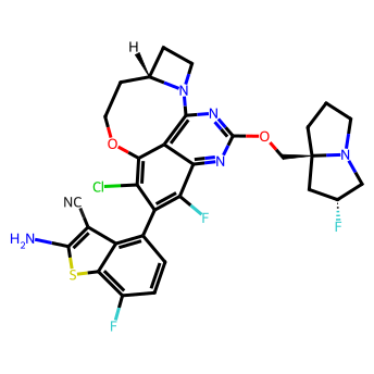 N#Cc1c(N)sc2c(F)ccc(-c3c(Cl)c4c5c(nc(OC[C@@]67CCCN6C[C@H](F)C7)nc5c3F)N3CC[C@H]3CCO4)c12